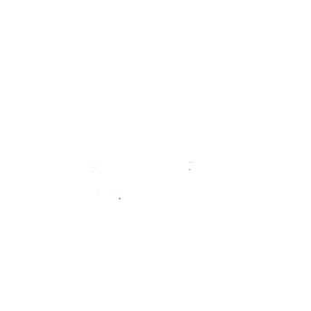 CC(C)(C)OC(=O)N1CC2CCC(NC(=O)c3ccc(Cl)cc3Cl)C2C1